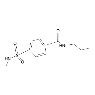 CCCNC(=O)c1ccc(S(=O)(=O)NC)cc1